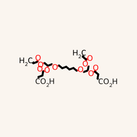 C=CC(=O)OCC(COCCCCCCOCC(COC(=O)C=C)OC(=O)CCC(=O)O)OC(=O)CCC(=O)O